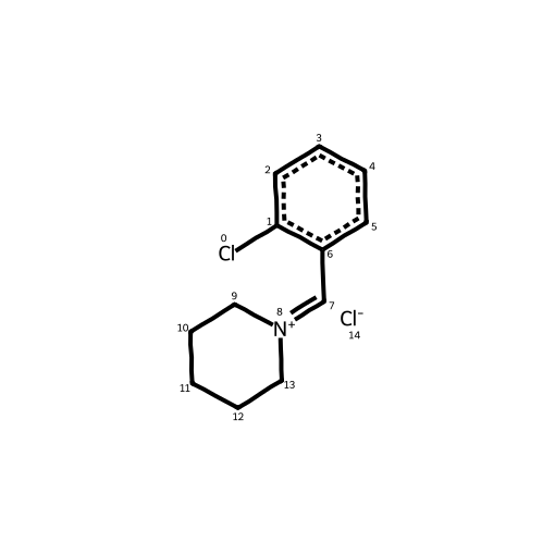 Clc1ccccc1C=[N+]1CCCCC1.[Cl-]